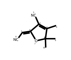 CC1=C(C#N)C(=CC#N)OC1(C)C